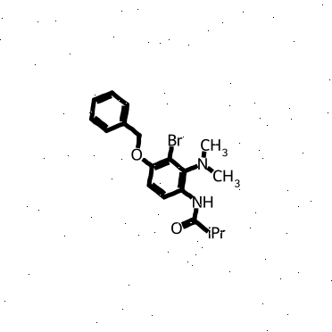 CC(C)C(=O)Nc1ccc(OCc2ccccc2)c(Br)c1N(C)C